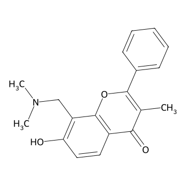 Cc1c(-c2ccccc2)oc2c(CN(C)C)c(O)ccc2c1=O